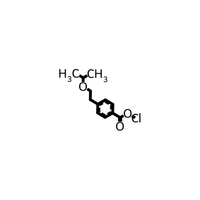 CC(C)OCCc1ccc(C(=O)OCl)cc1